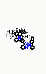 Bc1c(B)c(B)c2c(-n3c4ccccc4c4cc(-c5nc(-n6c7ccccc7c7cc8ccccc8cc76)nc6ccccc56)ccc43)c(B)c(B)c(B)c2c1B